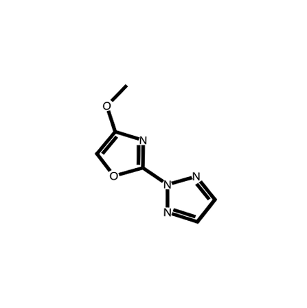 COc1coc(-n2nccn2)n1